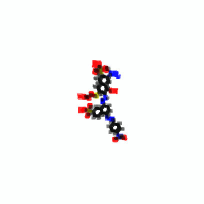 Nc1cc2c(O)c(N=Nc3ccc(N=Nc4ccc([N+](=O)[O-])cc4)c4ccc(S(=O)(=O)O)cc34)c(SOOO)cc2cc1S(=O)(=O)O